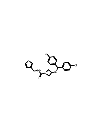 O=C(NCc1ccsc1)N1CC(OC(c2ccc(Cl)cc2)c2ccc(Cl)cc2)C1